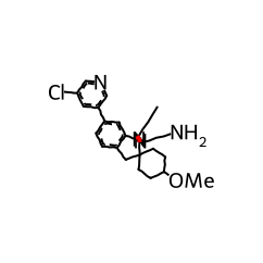 COC1CCC2(CC1)Cc1ccc(-c3cncc(Cl)c3)cc1C21N=C(C)C(N)=N1